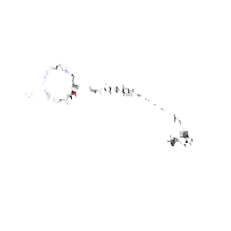 CO[C@H]1CC2CCCC(O2)C(=O)C(=O)N2CCCC[C@H]2C(=O)O[C@H](CC[C@H]2CC[C@H](OC(=O)N(C)Cc3cnc(N4CCN(c5ncc(C(=O)NCCOCCOCCOCCOCCC(=O)N6CCc7cc(Cn8nc(-c9cnc%10[nH]ccc%10c9)c9c(N)ncnc98)ccc7C6)cn5)CC4)nc3)CC2)CC(=O)[C@H](C)/C=C(\C)[C@@H](O)CC(=O)[C@H](C)C[C@H](C)/C=C/C=C/C=C/1C